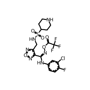 O=C(ON=C(Nc1ccc(F)c(Cl)c1)c1nonc1CNS(=O)(=O)C1CCNCC1)C(F)(F)F